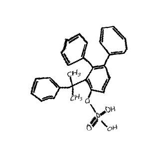 CC(C)(c1ccccc1)c1c(OP(=O)(O)O)ccc(-c2ccccc2)c1-c1ccccc1